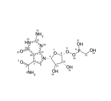 NC(=O)c1cn([C@@H]2O[C@H](OOP(O)CO)[C@H](O)C2O)c2nc(N)[nH]c(=O)c12